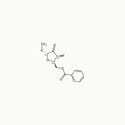 CO[C@H]1O[C@H](COC(=O)c2ccccc2)[C@H](F)C1=O